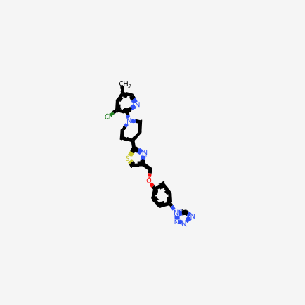 Cc1cnc(N2CCC(c3nc(COc4ccc(-n5cnnn5)cc4)cs3)CC2)c(Cl)c1